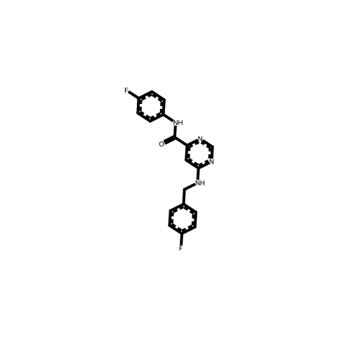 O=C(Nc1ccc(F)cc1)c1cc(NCc2ccc(F)cc2)ncn1